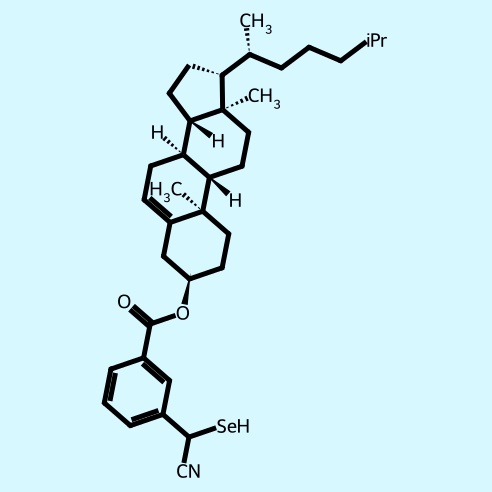 CC(C)CCC[C@@H](C)[C@H]1CC[C@H]2[C@@H]3CC=C4C[C@H](OC(=O)c5cccc(C([SeH])C#N)c5)CC[C@]4(C)[C@H]3CC[C@]12C